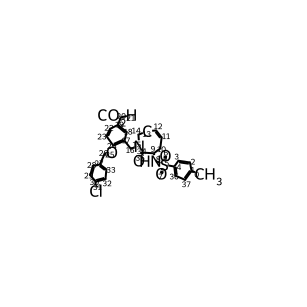 Cc1ccc(S(=O)(=O)NC2CC=CCCN(Cc3cc(CC(=O)O)ccc3OCc3ccc(Cl)cc3)C2=O)cc1